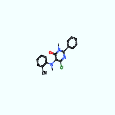 CN(c1ccccc1C#N)c1c(Cl)nc(-c2ccccc2)n(C)c1=O